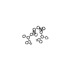 C1=CCCC(c2cc(-c3ccc4c(c3)c3ccccc3n4-c3cccc(-c4cccc(-n5c6c(c7cc(-c8cc(-c9ccccc9)cc(-c9cc%10c(c%11ccccc9%11)CC%10)c8)ccc75)C=CCC6)c4)c3)cc(-c3cc4c(c5ccccc35)CC4)c2)=C1